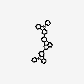 c1ccc(-n2c3ccccc3c3cc(-c4ccc5c(c4)-c4cccc6cc(-c7ccc8c(c7)c7ccccc7n8-c7ccccc7)nc-5c46)ccc32)cc1